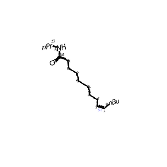 CCCC/C=C\CCCCCCCC(=O)NCCC